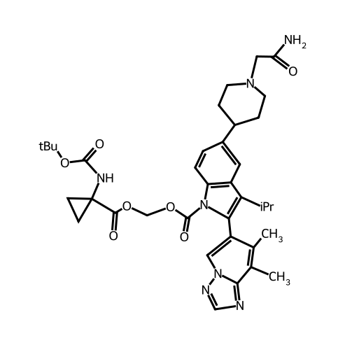 Cc1c(-c2c(C(C)C)c3cc(C4CCN(CC(N)=O)CC4)ccc3n2C(=O)OCOC(=O)C2(NC(=O)OC(C)(C)C)CC2)cn2ncnc2c1C